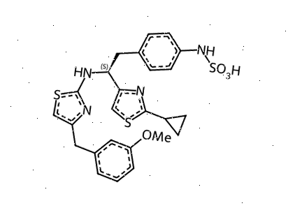 COc1cccc(Cc2csc(N[C@@H](Cc3ccc(NS(=O)(=O)O)cc3)c3csc(C4CC4)n3)n2)c1